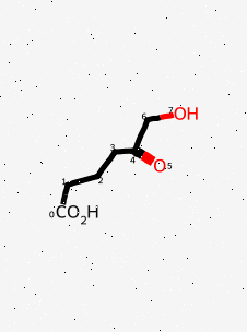 O=C(O)CCCC(=O)CO